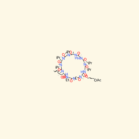 C/C=C/C[C@@H](C)[C@@H](O)[C@H]1C(=O)N[C@@H](CC)C(=O)N(C)CC(=O)N(C)[C@@H]([C@@H](C)OC/C=C/COC(C)=O)C(=O)N[C@@H](C(C)C)C(=O)N(C)[C@@H](CC(C)C)C(=O)N[C@@H](C)C(=O)N[C@H](C)C(=O)N(C)[C@@H](CC(C)C)C(=O)N(C)[C@H](CC(C)C)C(=O)N(C)[C@@H](C(C)C)C(=O)N1C